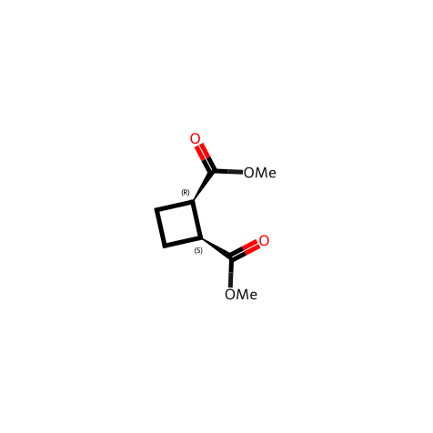 COC(=O)[C@H]1CC[C@H]1C(=O)OC